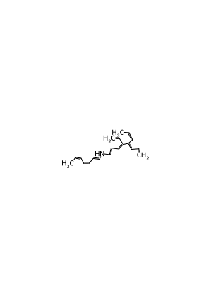 C=C/C=C(\C=C/C)C(/C=C)=C/C=C/N/C=C/C=C\C=C/C